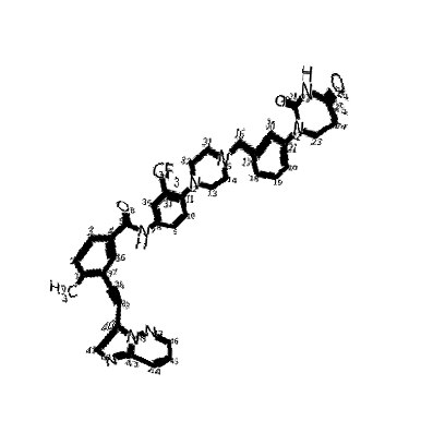 Cc1ccc(C(=O)Nc2ccc(N3CCN(Cc4cccc(N5CCC(=O)NC5=O)c4)CC3)c(C(F)(F)F)c2)cc1C#Cc1cnc2cccnn12